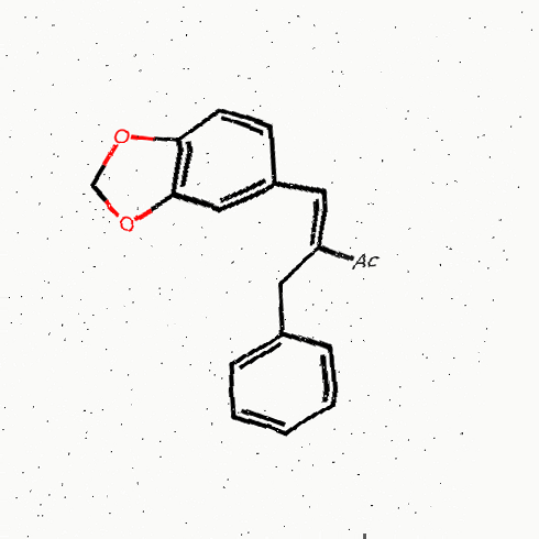 CC(=O)C(=Cc1ccc2c(c1)OCO2)Cc1ccccc1